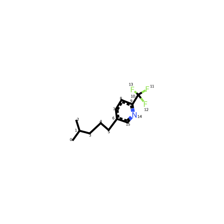 CC(C)CCCc1ccc(C(F)(F)F)nc1